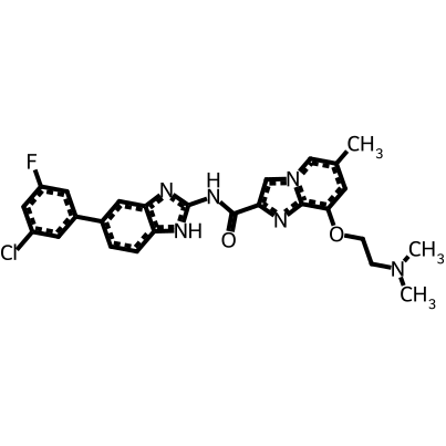 Cc1cc(OCCN(C)C)c2nc(C(=O)Nc3nc4cc(-c5cc(F)cc(Cl)c5)ccc4[nH]3)cn2c1